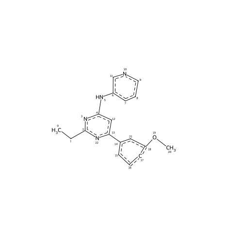 CCc1nc(Nc2cccnc2)cc(-c2cccc(OC)c2)n1